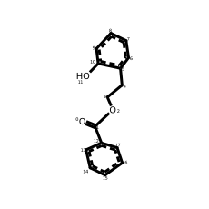 O=C(OCCc1ccccc1O)c1ccccc1